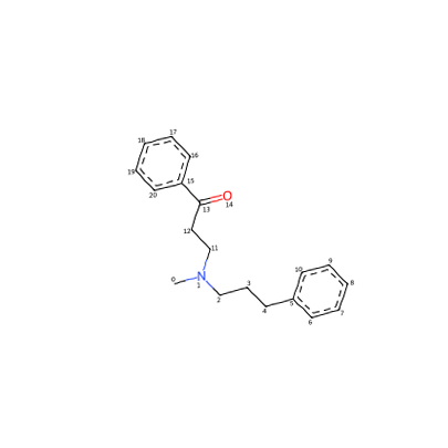 CN(CCCc1ccccc1)CCC(=O)c1ccccc1